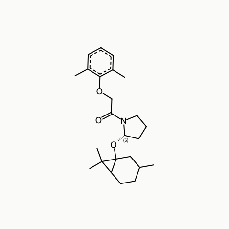 Cc1c[c]cc(C)c1OCC(=O)N1CCC[C@@H]1OC12CC(C)CCC1C2(C)C